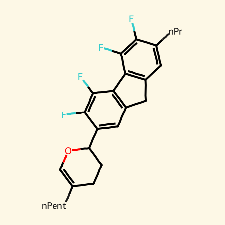 CCCCCC1=COC(c2cc3c(c(F)c2F)-c2c(cc(CCC)c(F)c2F)C3)CC1